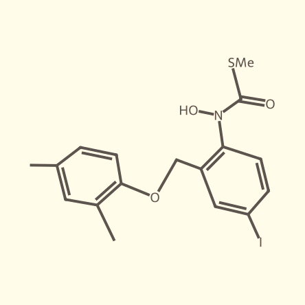 CSC(=O)N(O)c1ccc(I)cc1COc1ccc(C)cc1C